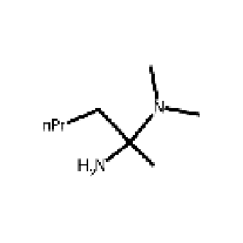 CCCCC(C)(N)N(C)C